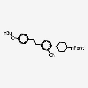 CCCCC[C@H]1CC[C@H](c2ccc(CCc3ccc(OCCCC)cc3)cc2C#N)CC1